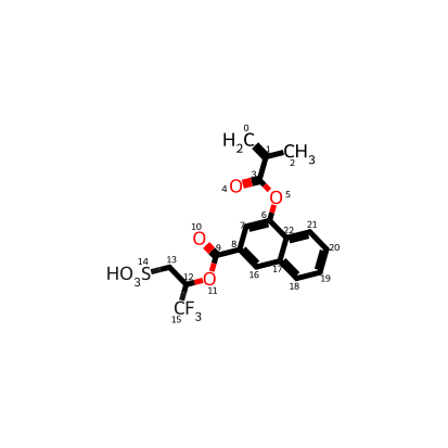 C=C(C)C(=O)Oc1cc(C(=O)OC(CS(=O)(=O)O)C(F)(F)F)cc2ccccc12